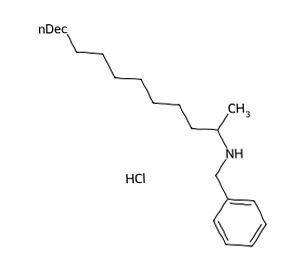 CCCCCCCCCCCCCCCCCC(C)NCc1ccccc1.Cl